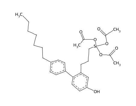 CCCCCCCc1ccc(-c2ccc(O)cc2CCC[Si](OC(C)=O)(OC(C)=O)OC(C)=O)cc1